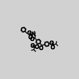 CC(C)C(=O)Oc1ccc(C(=O)c2ccc(C(=O)CN(C)C(=O)OCc3ccccc3)cc2OC(=O)C(C)C)cc1